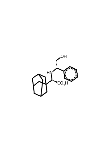 O=C(O)[C@H](N[C@H](CO)c1ccccc1)C12CC3CC(CC(C3)C1)C2